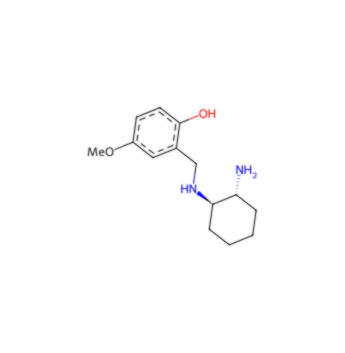 COc1ccc(O)c(CN[C@@H]2CCCC[C@H]2N)c1